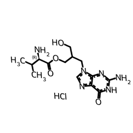 CC(C)[C@@H](N)C(=O)OCC(CO)Cn1cnc2c(=O)[nH]c(N)nc21.Cl